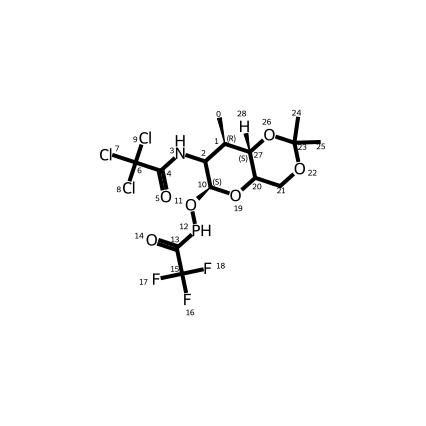 C[C@@H]1C(NC(=O)C(Cl)(Cl)Cl)[C@H](OPC(=O)C(F)(F)F)OC2COC(C)(C)O[C@H]21